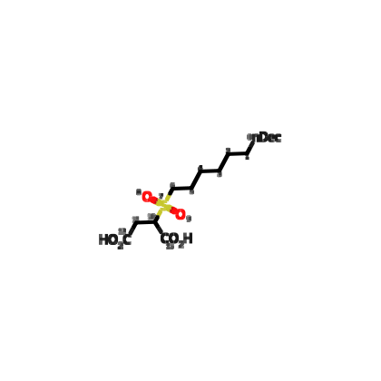 CCCCCCCCCCCCCCCCS(=O)(=O)C(CC(=O)O)C(=O)O